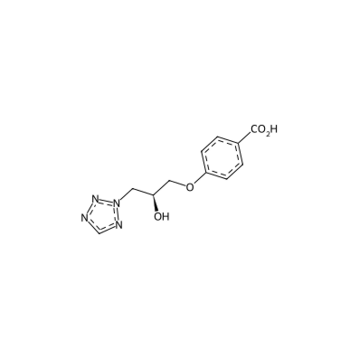 O=C(O)c1ccc(OC[C@@H](O)Cn2ncnn2)cc1